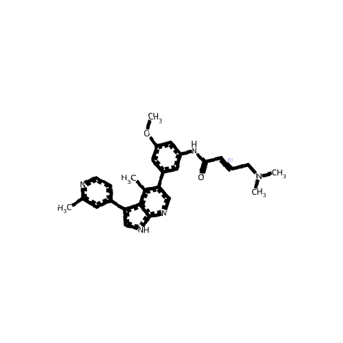 COc1cc(NC(=O)/C=C/CN(C)C)cc(-c2cnc3[nH]cc(-c4ccnc(C)c4)c3c2C)c1